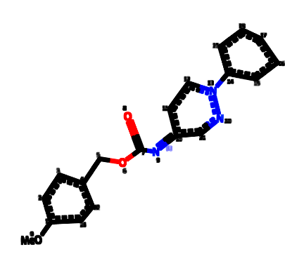 COc1ccc(COC(=O)/N=c2\ccn(-c3ccccc3)nc2)cc1